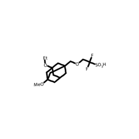 CCOC12CC3CC(COCC(F)(F)S(=O)(=O)O)(CC(OC)(C3)C1)C2